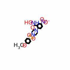 COc1ccc(S(=O)(=O)N2CCN(c3ccc([N+](=O)[O-])cc3C(=O)NO)CC2)cc1